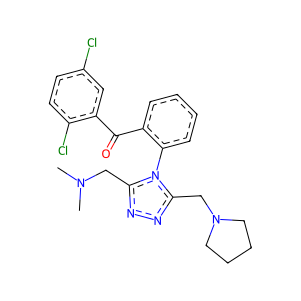 CN(C)Cc1nnc(CN2CCCC2)n1-c1ccccc1C(=O)c1cc(Cl)ccc1Cl